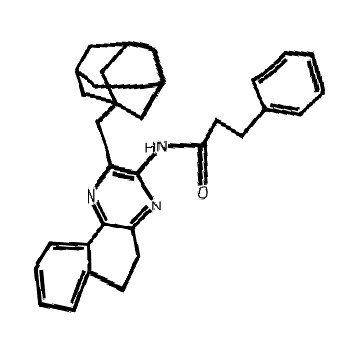 O=C(CCc1ccccc1)Nc1nc2c(nc1CC13CC4CC(CC(C4)C1)C3)-c1ccccc1CC2